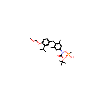 COCOc1ccc(Cc2c(C)cc(N(OP(C)(=O)O)C(=O)OC(C)(C)C)cc2C)cc1C(C)C